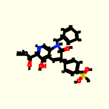 COC(=O)c1ncc2c(cc(-c3ccc(S(C)(=O)=O)cc3)c(=O)n2Cc2ccccc2)c1O